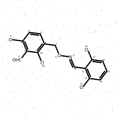 O=Cc1c(Cl)ccc(CO/N=C/c2c(Cl)cccc2Cl)c1Cl